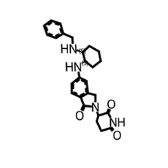 O=C1CCC(N2Cc3cc(N[C@H]4CCCC[C@@H]4NCc4ccccc4)ccc3C2=O)C(=O)N1